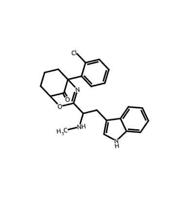 CNC(Cc1c[nH]c2ccccc12)C1=NC2(c3ccccc3Cl)CCCC(O1)C2=O